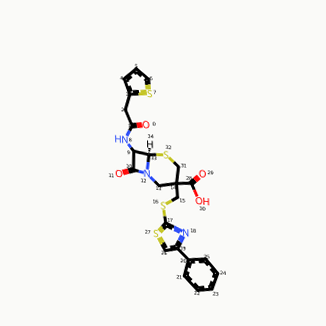 O=C(Cc1cccs1)NC1C(=O)N2CC(CSc3nc(-c4ccccc4)cs3)(C(=O)O)CS[C@H]12